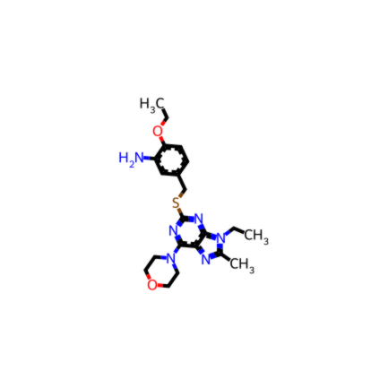 CCOc1ccc(CSc2nc(N3CCOCC3)c3nc(C)n(CC)c3n2)cc1N